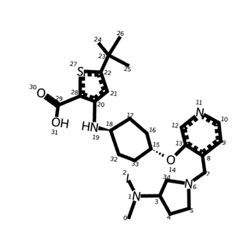 CN(I)C1CCN(Cc2ccncc2O[C@H]2CC[C@H](Nc3cc(C(C)(C)C)sc3C(=O)O)CC2)C1